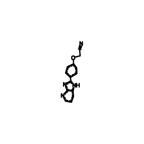 N#CCOc1ccc(-c2nc3ncccc3[nH]2)cc1